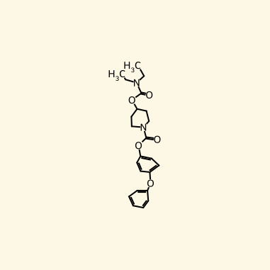 CCN(CC)C(=O)OC1CCN(C(=O)Oc2ccc(Oc3ccccc3)cc2)CC1